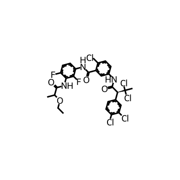 CCOC(C)C(=O)Nc1c(F)ccc(NC(=O)c2cc(NC(=O)[C@H](c3ccc(Cl)c(Cl)c3)C(C)(Cl)Cl)ccc2Cl)c1F